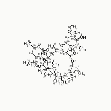 CC[C@H]1OC(=O)[C@H](C)[C@@H](O[C@H]2C[C@@](C)(OC)[C@@H](O)[C@H](C)O2)[C@H](C)[C@@H](O[C@@H]2O[C@H](C)CC(N(C)C)[C@H]2OC(=O)C(C)C(C)C)[C@](C)(O)C[C@@H](C)CN(C)[C@H](C)[C@@H](O)[C@]1(C)O